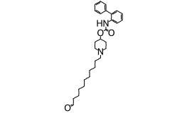 O=CCCCCCCCCCCN1CCC(OC(=O)Nc2ccccc2-c2ccccc2)CC1